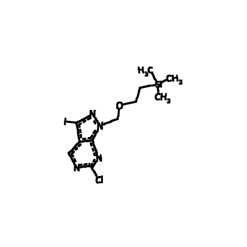 C[Si](C)(C)CCOCn1nc(I)c2cnc(Cl)nc21